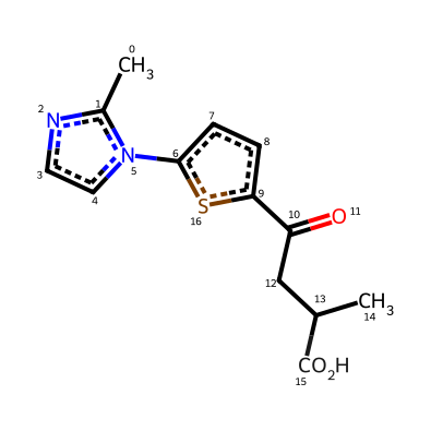 Cc1nccn1-c1ccc(C(=O)CC(C)C(=O)O)s1